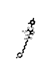 Cc1ccc(COc2nsc(NC(=O)NCCCCCCCN3CCN(C)CC3)c2C(N)=O)c(C)c1